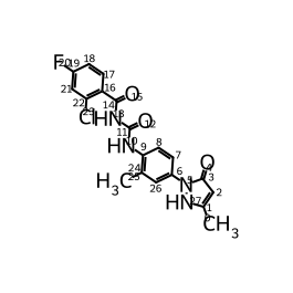 Cc1cc(=O)n(-c2ccc(NC(=O)NC(=O)c3ccc(F)cc3Cl)c(C)c2)[nH]1